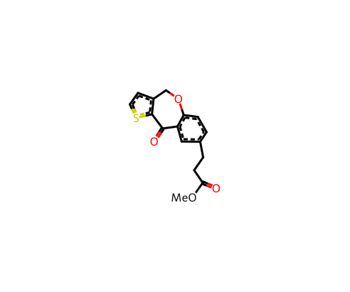 COC(=O)CCc1ccc2c(c1)C(=O)c1sccc1CO2